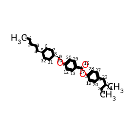 CCCCC[C@H]1CC[C@H](COc2ccc(C(=O)Oc3ccc(C[C@@H](C)CC)cc3)cc2)CC1